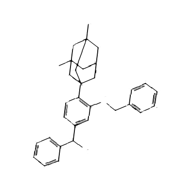 CC12CC3CC(C)(C1)CC(c1ccc(C(O)c4ccccc4)cc1OCc1ccccc1)(C3)C2